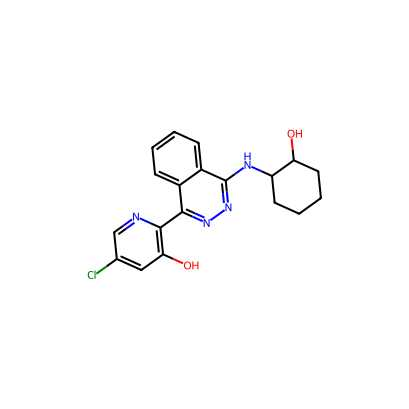 Oc1cc(Cl)cnc1-c1nnc(NC2CCCCC2O)c2ccccc12